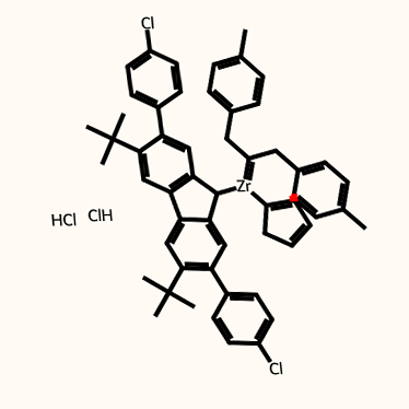 Cc1ccc(C[C](Cc2ccc(C)cc2)=[Zr]([C]2=CC=CC2)[CH]2c3cc(-c4ccc(Cl)cc4)c(C(C)(C)C)cc3-c3cc(C(C)(C)C)c(-c4ccc(Cl)cc4)cc32)cc1.Cl.Cl